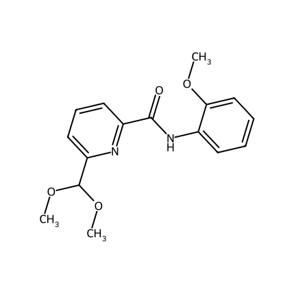 COc1ccccc1NC(=O)c1cccc(C(OC)OC)n1